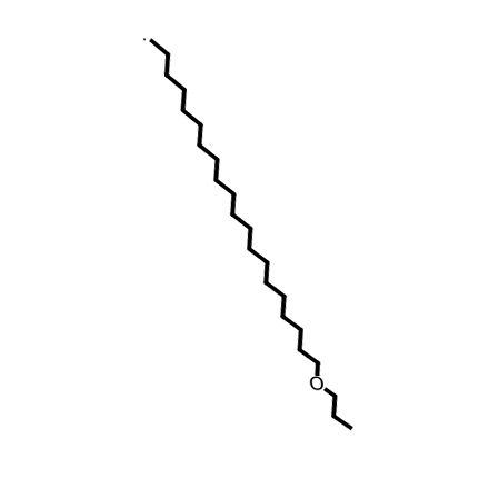 [CH2]CCCCCCCCCCCCCCCCCCCOCCC